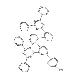 N#Cc1ccc(-c2ccc(-c3ccccc3-c3ccccc3-c3nc(-c4ccccc4)nc(-c4ccccc4)n3)c(-c3nc(-c4ccccc4)nc(-c4ccccc4)n3)c2)cc1